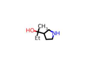 CCC(C)(O)C1CCNC1